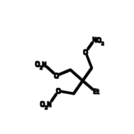 CCC(CO[N+](=O)[O-])(CO[N+](=O)[O-])CO[N+](=O)[O-]